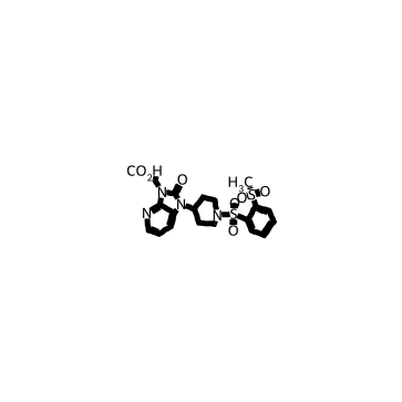 CS(=O)(=O)c1ccccc1S(=O)(=O)N1CCC(n2c(=O)n(CC(=O)O)c3ncccc32)CC1